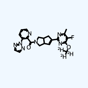 [2H]C([2H])([2H])Oc1nc(C2=CC3CN(C(=O)c4ncccc4-n4nccn4)CC3C2)nc(C)c1F